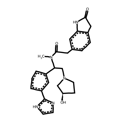 CN(C(=O)Cc1ccc2c(c1)NC(=O)C2)C(CN1CC[C@@H](O)C1)c1cccc(-c2ncc[nH]2)c1